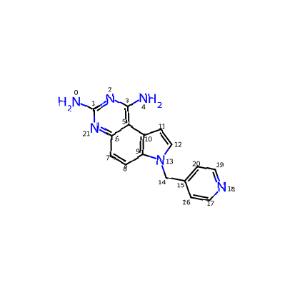 Nc1nc(N)c2c(ccc3c2ccn3Cc2ccncc2)n1